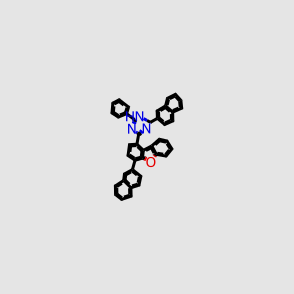 c1ccc(C2=NC(c3ccc(-c4ccc5ccccc5c4)c4oc5ccccc5c34)=NC(c3ccc4ccccc4c3)N2)cc1